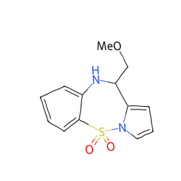 COCC1Nc2ccccc2S(=O)(=O)n2cccc21